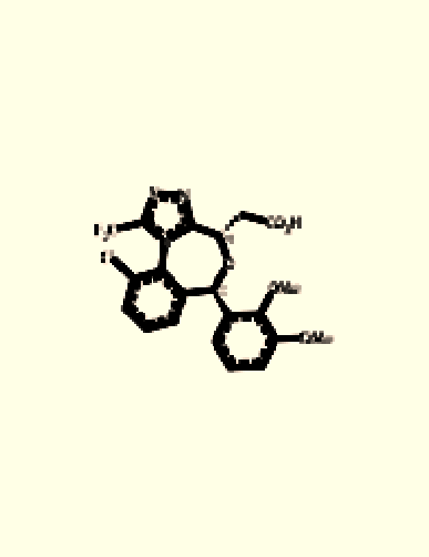 COc1cccc([C@@H]2O[C@@H](CC(=O)O)c3nnc(C(F)(F)F)n3-c3c(Cl)cccc32)c1OC